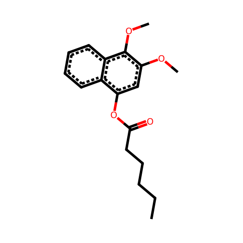 CCCCCC(=O)Oc1cc(OC)c(OC)c2ccccc12